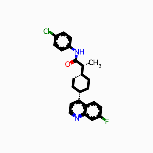 C[C@@H](C(=O)Nc1ccc(Cl)cc1)[C@H]1CC[C@@H](c2ccnc3cc(F)ccc32)CC1